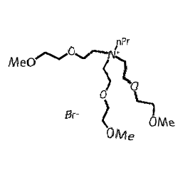 CCC[N+](CCOCCOC)(CCOCCOC)CCOCCOC.[Br-]